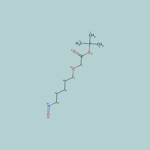 CC(C)(C)OC(=O)COCCCCCN=O